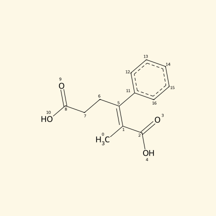 CC(C(=O)O)=C(CCC(=O)O)c1ccccc1